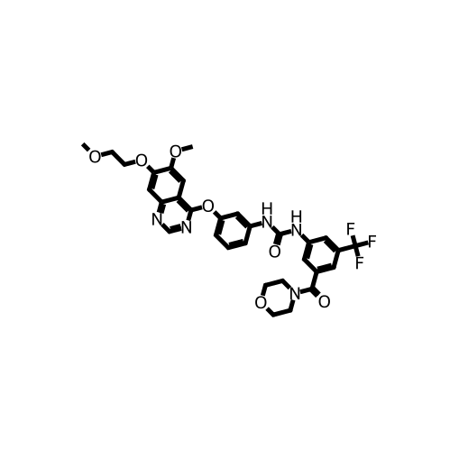 COCCOc1cc2ncnc(Oc3cccc(NC(=O)Nc4cc(C(=O)N5CCOCC5)cc(C(F)(F)F)c4)c3)c2cc1OC